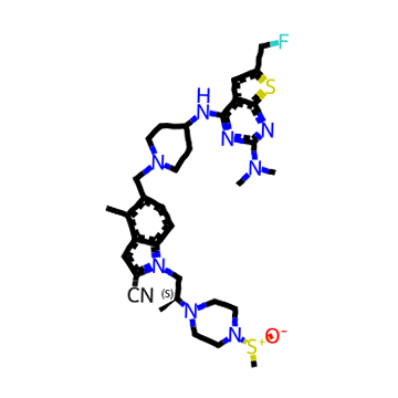 Cc1c(CN2CCC(Nc3nc(N(C)C)nc4sc(CF)cc34)CC2)ccc2c1cc(C#N)n2C[C@H](C)N1CCN([S+](C)[O-])CC1